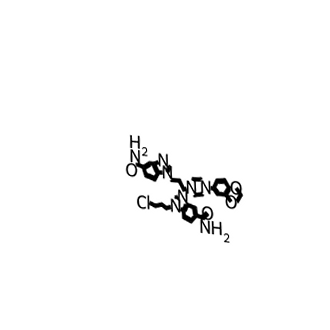 NC(=O)c1ccc2c(c1)ncn2CCCCl.NC(=O)c1ccc2c(c1)ncn2CCCN1CCN(c2ccc3c(c2)OCCO3)CC1